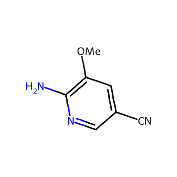 COc1cc(C#N)cnc1N